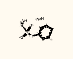 N=[N+]S(=O)(=O)Oc1ccccc1.[NaH]